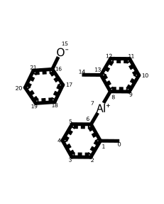 Cc1cccc[c]1[Al+][c]1ccccc1C.[O-]c1ccccc1